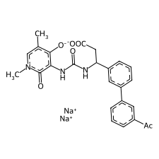 CC(=O)c1cccc(-c2cccc(C(CC(=O)[O-])NC(=O)Nc3c([O-])c(C)cn(C)c3=O)c2)c1.[Na+].[Na+]